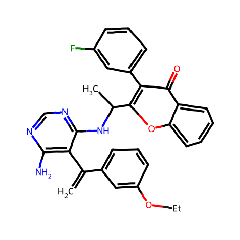 C=C(c1cccc(OCC)c1)c1c(N)ncnc1NC(C)c1oc2ccccc2c(=O)c1-c1cccc(F)c1